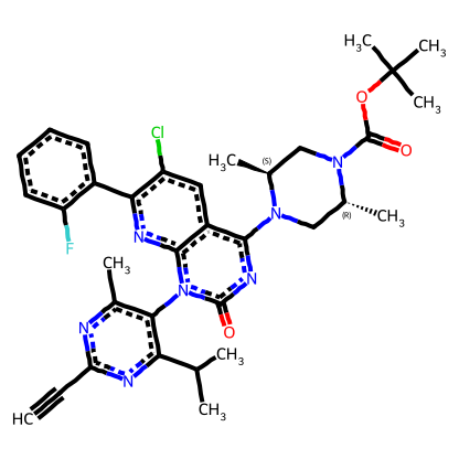 C#Cc1nc(C)c(-n2c(=O)nc(N3C[C@@H](C)N(C(=O)OC(C)(C)C)C[C@@H]3C)c3cc(Cl)c(-c4ccccc4F)nc32)c(C(C)C)n1